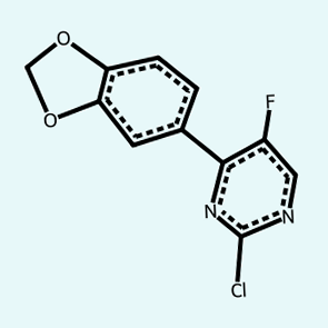 Fc1cnc(Cl)nc1-c1ccc2c(c1)OCO2